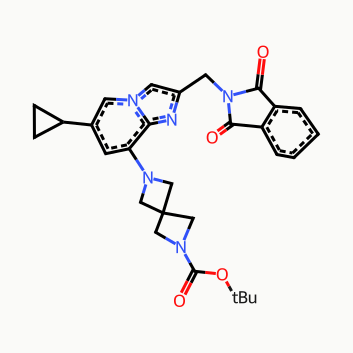 CC(C)(C)OC(=O)N1CC2(C1)CN(c1cc(C3CC3)cn3cc(CN4C(=O)c5ccccc5C4=O)nc13)C2